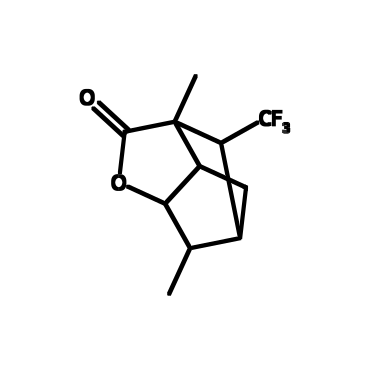 CC1C2CC3C1OC(=O)C3(C)C2C(F)(F)F